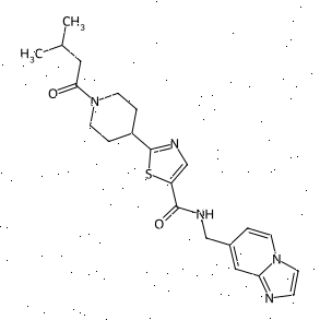 CC(C)CC(=O)N1CCC(c2ncc(C(=O)NCc3ccn4ccnc4c3)s2)CC1